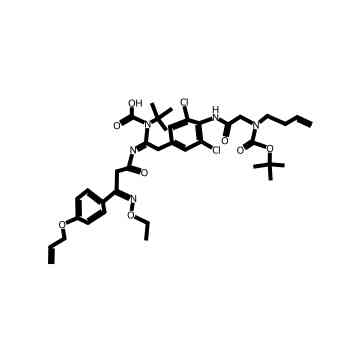 C=CCCN(CC(=O)Nc1c(Cl)cc(CC(=NC(=O)CC(=NOCC)c2ccc(OCC=C)cc2)N(C(=O)O)C(C)(C)C)cc1Cl)C(=O)OC(C)(C)C